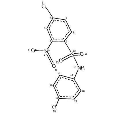 O=[N+]([O-])c1cc(Cl)ccc1S(=O)(=O)Nc1ccc(Cl)cc1